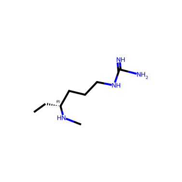 CC[C@H](CCCNC(=N)N)NC